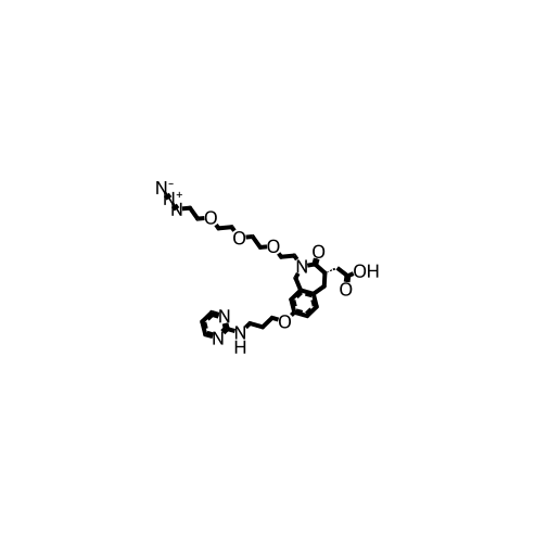 [N-]=[N+]=NCCOCCOCCOCCN1Cc2cc(OCCCNc3ncccn3)ccc2C[C@@H](CC(=O)O)C1=O